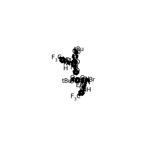 CCc1c(N2CCN(C(=O)OC(C)(C)C)CC2)c(=O)n2nc(Br)nc2n1CC(=O)Nc1ccc(C(F)(F)F)cc1.CCc1c(N2CCN(C(=O)OC(C)(C)C)CC2)c(=O)n2nc(C3=CCCCO3)nc2n1CC(=O)Nc1ccc(C(F)(F)F)cc1